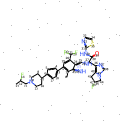 CC1=C(c2ccc(C3CCN(CC(C)F)CC3)cc2)C=C(C(F)F)/C(=C/NC(C(=O)Nc2nccs2)c2ncn3c2C[C@@H](F)C3)C1=N